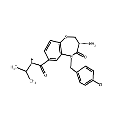 CC(C)NC(=O)c1ccc2c(c1)N(Cc1ccc(Cl)cc1)C(=O)[C@@H](N)CS2